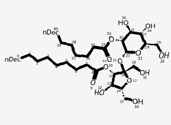 CCCCCCCCCCCCCCCCCC(=O)O[C@H]1[C@H](O)[C@@H](CO)O[C@@]1(CO)O[C@H]1O[C@H](CO)[C@@H](O)[C@H](O)[C@H]1OC(=O)CCCCCCCCCCCCCCC